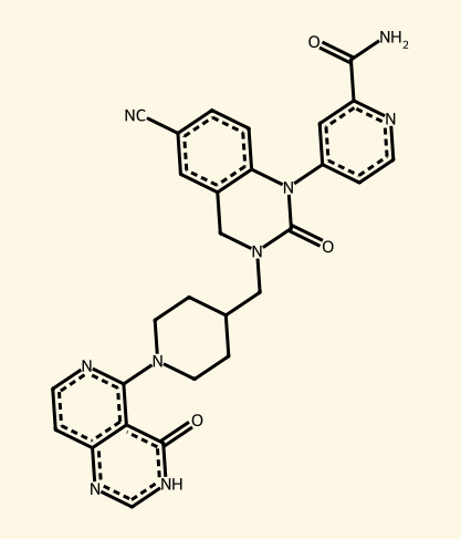 N#Cc1ccc2c(c1)CN(CC1CCN(c3nccc4nc[nH]c(=O)c34)CC1)C(=O)N2c1ccnc(C(N)=O)c1